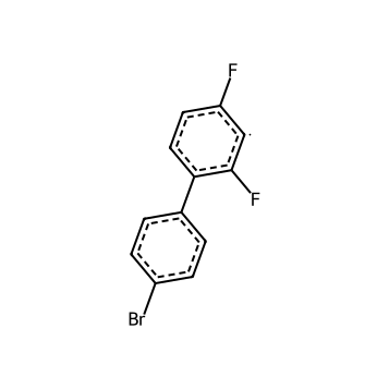 Fc1[c]c(F)c(-c2ccc(Br)cc2)cc1